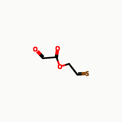 O=CC(=O)OCC=S